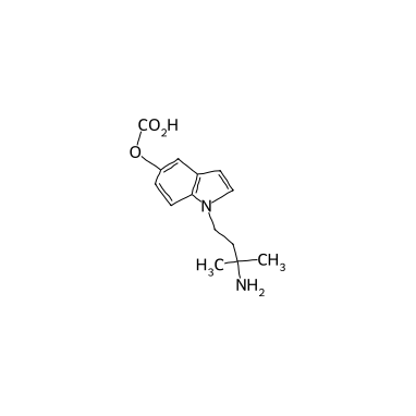 CC(C)(N)CCn1ccc2cc(OC(=O)O)ccc21